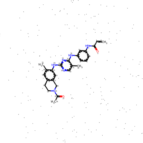 C=CC(=O)Nc1cccc(Nc2nc(Nc3cc4c(cc3C)CCN(C(C)=O)C4)ncc2C)c1